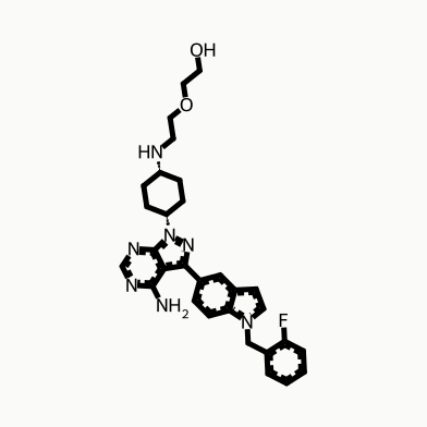 Nc1ncnc2c1c(-c1ccc3c(ccn3Cc3ccccc3F)c1)nn2[C@H]1CC[C@@H](NCCOCCO)CC1